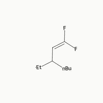 C[CH]C(C=C(F)F)CCCC